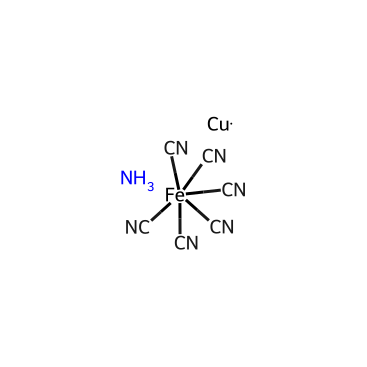 N.N#[C][Fe]([C]#N)([C]#N)([C]#N)([C]#N)[C]#N.[Cu]